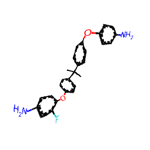 CC(C)(c1ccc(Oc2ccc(N)cc2)cc1)c1ccc(Oc2ccc(N)cc2F)cc1